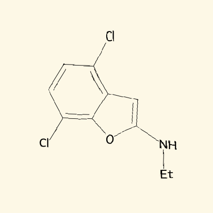 CCNc1cc2c(Cl)ccc(Cl)c2o1